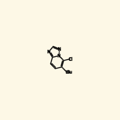 CC(C)(C)c1ccc2ncnn2c1Cl